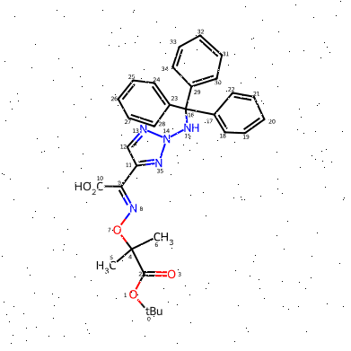 CC(C)(C)OC(=O)C(C)(C)ON=C(C(=O)O)c1cnn(NC(c2ccccc2)(c2ccccc2)c2ccccc2)n1